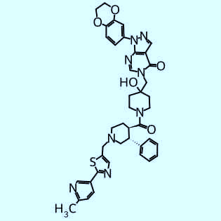 Cc1ccc(-c2ncc(CN3CC[C@@H](C(=O)N4CCC(O)(Cn5cnc6c(cnn6-c6ccc7c(c6)OCCO7)c5=O)CC4)[C@H](c4ccccc4)C3)s2)cn1